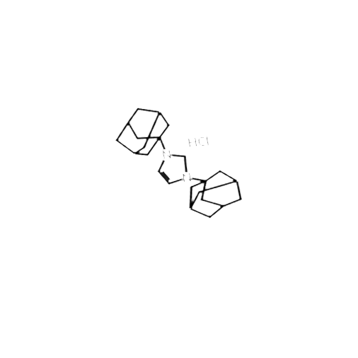 C1=CN(C23CC4CC(CC(C4)C2)C3)CN1C12CC3CC(CC(C3)C1)C2.Cl